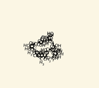 CC(C1CC(O)[C@]2(C)C3CCC(OCC4(C)CC(COCC5(C)OC(CO)[C@@H](O)C(O)[C@@H]5O)[C@@H](O)C(O)[C@@H]4O)C(C)(C)C3=CCC2[C@H]1C)[C@H](C)CCC(OC[C@H]1OC(COCC2(C)OC(CO)[C@H](O)[C@H](O)C2O)[C@H](O)[C@H](O)C1O[C@@]1(C)OC(CO)[C@H](O)[C@H](O)C1O)C(C)(C)O